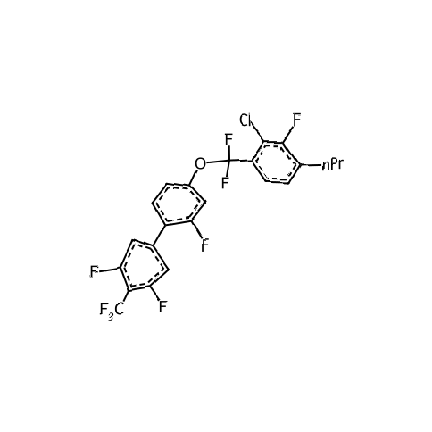 CCCc1ccc(C(F)(F)Oc2ccc(-c3cc(F)c(C(F)(F)F)c(F)c3)c(F)c2)c(Cl)c1F